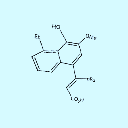 CCCCC(=CC(=O)O)c1cc(OC)c(O)c2c(CC)cccc12